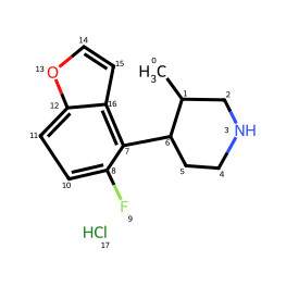 CC1CNCCC1c1c(F)ccc2occc12.Cl